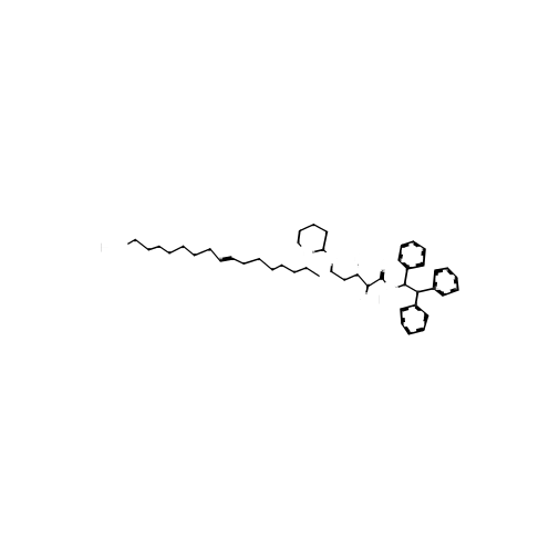 CCCCCCCCC=CCCCCCCC[C@@H](C[C@H](O)C(O)C(=O)OC(c1ccccc1)C(c1ccccc1)c1ccccc1)OC1CCCCO1